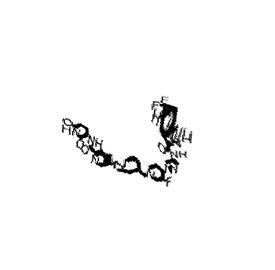 C[C@@]12Cc3[nH]nc(C(=O)Nc4cnn([C@H]5CCN(CC6CCN(c7ccc(C(=O)N[C@H]8CCC(=O)NC8=O)nc7)CC6)C[C@@H]5F)c4)c3C[C@@H]1C2(F)F